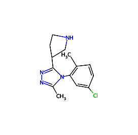 Cc1ccc(Cl)cc1-n1c(C)nnc1C1CCNC1